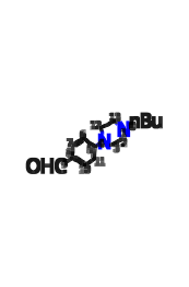 CCCCN1CCN(c2ccc(C=O)cc2)CC1